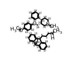 CNCCCC12CCC(c3ccccc31)c1ccccc12.COc1ccc(OC[C@H]2CN(C)CC[C@@H]2c2ccccc2)cc1